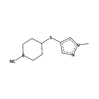 Cn1cc(SC2CCB(C#N)CC2)cn1